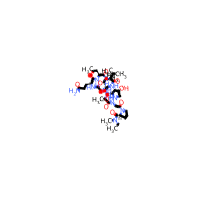 CCN(C)C(=O)[C@@H]1CCCN1C(=O)CNC(=O)[C@H](C)NC(=O)[C@H](CC(C)C)NC(=O)[C@@H](NC(=O)[C@H](CC(C)=O)NC(=O)[C@H](CCC(N)=O)NC(=O)CNC(=O)[C@@H]1C[C@@H](O)CN1)C(C)C